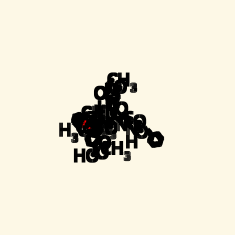 CCN1C(=O)CN(C(=O)NC(C(=O)NC(Cc2c(C(C)(C)C)ccc(C(=O)O)c2OC)B2OC3CC4CC(C4(C)C)[C@]3(C)O2)c2csc(NC(=O)OCc3ccccc3)n2)CC1=O